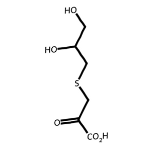 O=C(O)C(=O)CSCC(O)CO